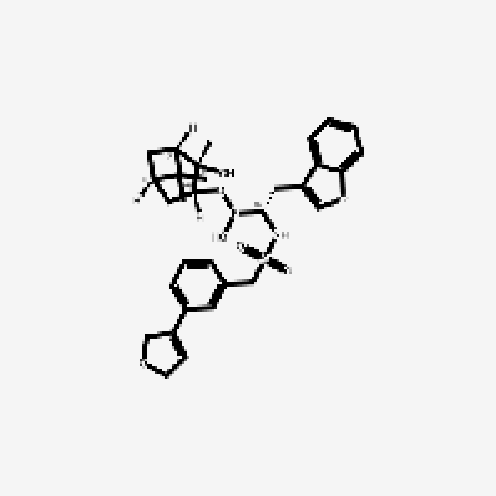 CC1(C)[C@@H]2C[C@@H](OB(O)[C@H](Cc3coc4ccccc34)NS(=O)(=O)Cc3cccc(C4=CCOC4)c3)[C@@](C)(O)[C@H]1C2